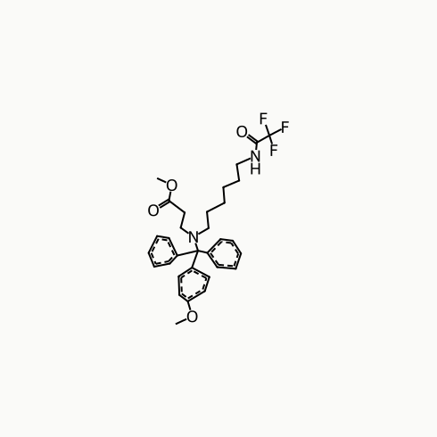 COC(=O)CCN(CCCCCCNC(=O)C(F)(F)F)C(c1ccccc1)(c1ccccc1)c1ccc(OC)cc1